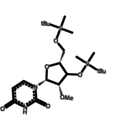 CO[C@H]1C(O[Si](C)(C)C(C)(C)C)[C@@H](CO[Si](C)(C)C(C)(C)C)O[C@H]1n1ccc(=O)[nH]c1=O